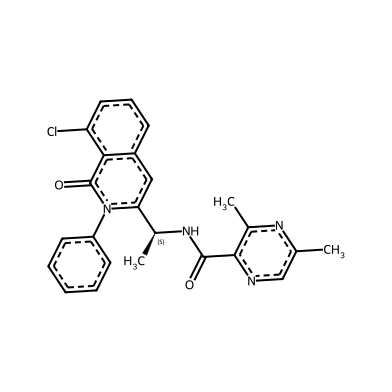 Cc1cnc(C(=O)N[C@@H](C)c2cc3cccc(Cl)c3c(=O)n2-c2ccccc2)c(C)n1